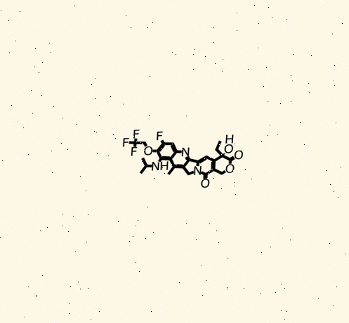 CC[C@@]1(O)C(=O)OCc2c1cc1n(c2=O)Cc2c-1nc1cc(F)c(OCC(F)(F)F)c(NC(C)C)c1c2C